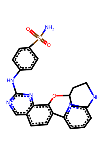 NS(=O)(=O)c1ccc(Nc2ncc3ccc(-c4ccccn4)c(OC4CCNCC4)c3n2)cc1